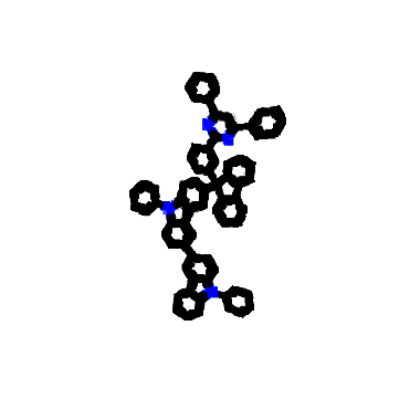 c1ccc(-c2cc(-c3ccccc3)nc(-c3cccc(C4(c5ccc6c(c5)c5cc(-c7ccc8c(c7)c7ccccc7n8-c7ccccc7)ccc5n6-c5ccccc5)c5ccccc5-c5ccccc54)c3)n2)cc1